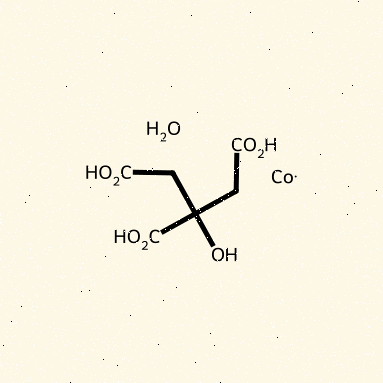 O.O=C(O)CC(O)(CC(=O)O)C(=O)O.[Co]